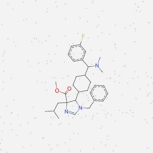 COC(=O)C1(CC(C)C)N=CN(Cc2ccccc2)C1C1CCC(C(c2cccc(F)c2)N(C)C)CC1